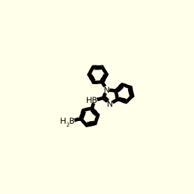 Bc1cccc(Bc2nc3ccccc3n2-c2ccccc2)c1